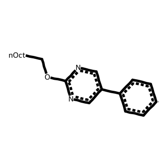 CCCCCCCCCOc1ncc(-c2cc[c]cc2)cn1